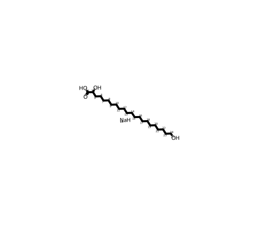 O=C(O)C(O)CCCCCCCCCCCCCCCCCCCCO.[NaH]